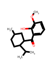 COc1cccc(C(=O)C2CC(C)CCC2C(C)C)c1O